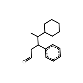 CC(C1CCCCC1)C(CC=O)c1ccccc1